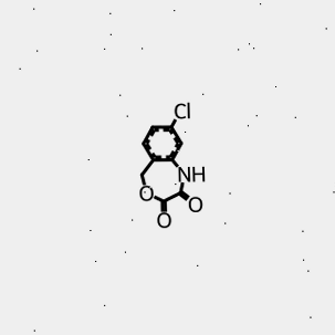 O=C1Nc2cc(Cl)ccc2COC1=O